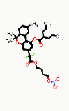 CCCC(CCC)C(=O)Oc1cc(C(F)(F)C(=O)OCCCCO[N+](=O)[O-])cc2c1C1CC(C)=CCC1C(C)(C)O2